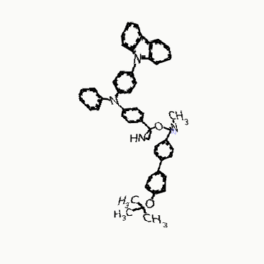 C/N=C(\OC1(c2ccc(N(c3ccccc3)c3ccc(-n4c5ccccc5c5ccccc54)cc3)cc2)CN1)c1ccc(-c2ccc(OC(C)(C)C)cc2)cc1